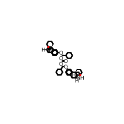 O=C(OC(Oc1ccc2c(c1)[C@@]13CCCC[C@H]1[C@@H](C2)NCC3)C1CCCCC1)OC(Oc1ccc2c(c1)[C@@]13CCCC[C@H]1[C@@H](C2)NCC3)C1CCCCC1